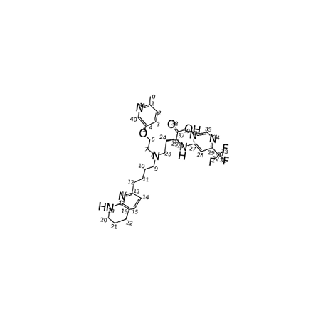 Cc1ccc(OCCN(CCCCc2ccc3c(n2)NCCC3)CC[C@H](Nc2cc(C(F)(F)F)ncn2)C(=O)O)cn1